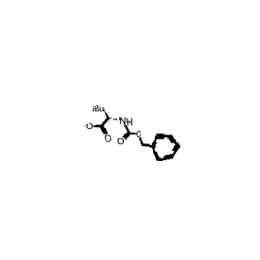 CC[C@H](C)[C@H](NC(=O)OCc1ccccc1)C([O])=O